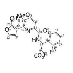 COc1ccc(C(=O)NC(CC(=O)O)c2ccccc2F)nc1-c1ccoc1C